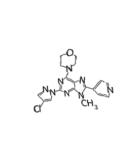 Cn1c(-c2ccncc2)nc2c(N3CCOCC3)nc(-n3cc(Cl)cn3)nc21